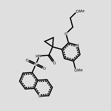 COCCOc1ncc(OC)cc1C1(C(=O)NS(=O)(=O)c2cccc3ncccc23)CC1